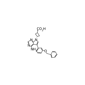 Nc1ncnc2c1c(-c1cccc(OCc3ccccc3)c1)cn2[C@H]1C[C@H](C(=O)O)C1